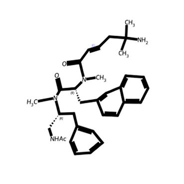 CC(=O)NC[C@@H](Cc1ccccc1)N(C)C(=O)[C@@H](Cc1ccc2ccccc2c1)N(C)C(=O)/C=C/CC(C)(C)N